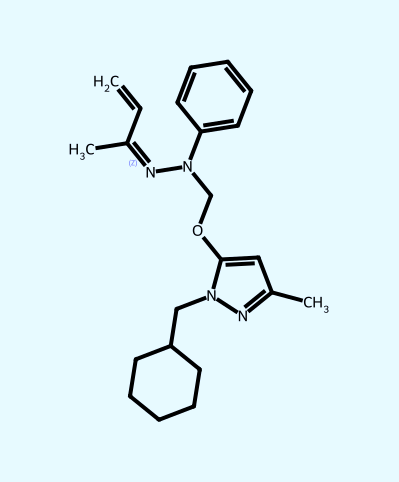 C=C/C(C)=N\N(COc1cc(C)nn1CC1CCCCC1)c1ccccc1